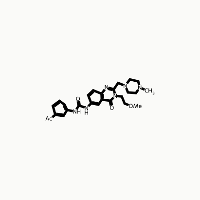 COCCn1c(CN2CCN(C)CC2)nc2ccc(NC(=O)Nc3cccc(C(C)=O)c3)cc2c1=O